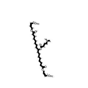 CCCCCCCCCC/C=C\COC(=O)CCCCCCCC(CCCCCCCC(=O)OC/C=C\CCCCCCCCCC)OC(=O)CCCN(C)C